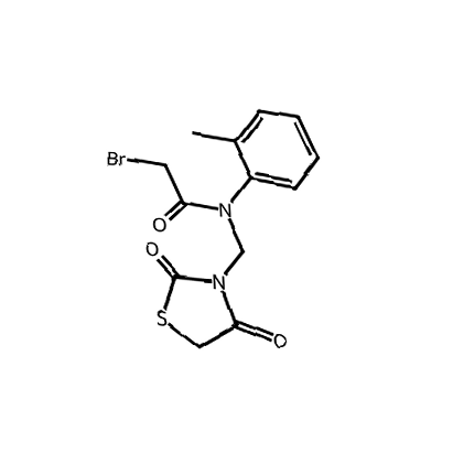 Cc1ccccc1N(CN1C(=O)CSC1=O)C(=O)CBr